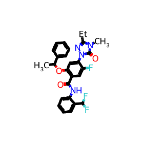 CCc1nn(-c2cc(OC(C)c3ccccc3)c(C(=O)Nc3ccccc3C(F)F)cc2F)c(=O)n1C